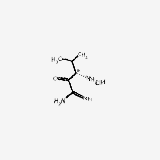 CC(C)[C@H](N)C(=O)C(=N)N.Cl